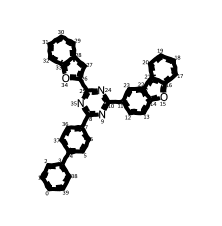 c1ccc(-c2ccc(-c3nc(-c4ccc5oc6ccccc6c5c4)nc(-c4cc5ccccc5o4)n3)cc2)cc1